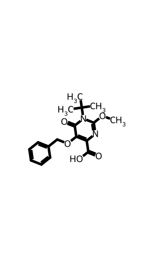 COc1nc(C(=O)O)c(OCc2ccccc2)c(=O)n1C(C)(C)C